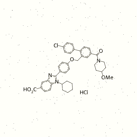 COC1CCN(C(=O)c2ccc(-c3ccc(Cl)cc3)c(COc3ccc(-c4nc5cc(C(=O)O)ccc5n4C4CCCCC4)cc3)c2)CC1.Cl